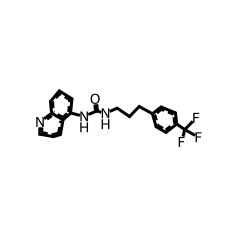 O=C(NCCCc1ccc(C(F)(F)F)cc1)Nc1cccc2ncccc12